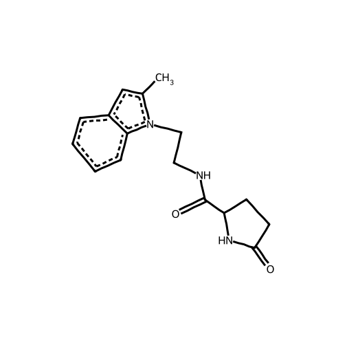 Cc1cc2ccccc2n1CCNC(=O)C1CCC(=O)N1